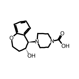 O=C(O)N1CCN([C@@H]2c3ccccc3OCC[C@H]2O)CC1